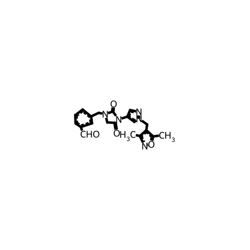 Cc1noc(C)c1Cn1cc(N2C(=O)CN(Cc3cccc(C=O)c3)C2=O)cn1